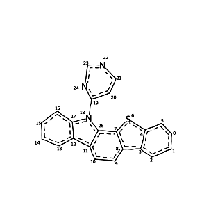 c1ccc2c(c1)sc1c2ccc2c3ccccc3n(-c3ccncn3)c21